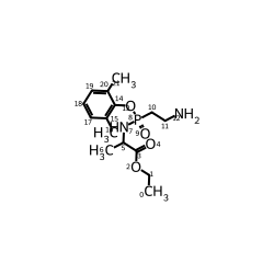 CCOC(=O)C(C)NP(=O)(CCN)Oc1c(C)cccc1C